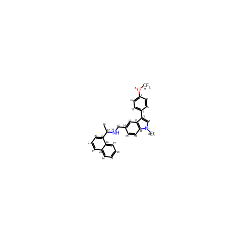 CCn1cc(-c2ccc(OC(F)(F)F)cc2)c2cc(CNC(C)c3cccc4ccccc34)ccc21